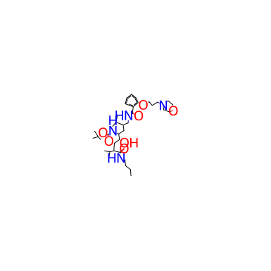 CCCCNC(=O)C(CC(O)C(CC(CNC(=O)c1ccccc1OCCCN1CCOCC1)C(C)C)NC(=O)OC(C)(C)C)C(C)C